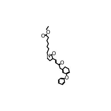 CCOC(=O)CCCCCCN1CCC(C=CC(=O)CC2=CC(Oc3ccccc3)=CCC2)C1=O